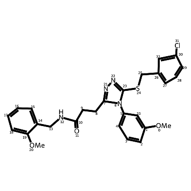 COc1cccc(-n2c(CCC(=O)NCc3ccccc3OC)nnc2SCc2cccc(Cl)c2)c1